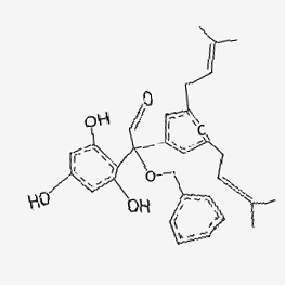 CC(C)=CCc1cc(CC=C(C)C)cc(C(C=O)(OCc2ccccc2)c2c(O)cc(O)cc2O)c1